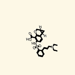 CCN(CC)CC=Cc1ccccc1S(=O)(=O)Nc1ccc2c(c1C(=O)O)OC[C@@H]1C[C@H]21